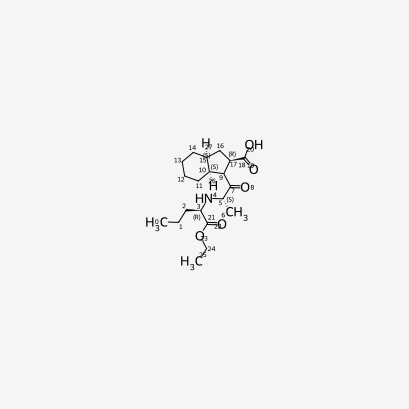 CCC[C@@H](N[C@@H](C)C(=O)C1[C@H]2CCCC[C@H]2C[C@H]1C(=O)O)C(=O)OCC